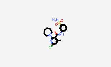 Cc1cc(Cl)nc(N2CCCCCC2)c1C(=O)Nc1cccc(S(N)(=O)=O)c1